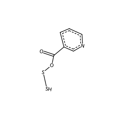 O=C(OSS)c1cccnc1